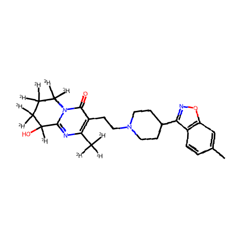 [2H]C([2H])([2H])c1nc2n(c(=O)c1CCN1CCC(c3noc4cc(C)ccc34)CC1)C([2H])([2H])C([2H])([2H])C([2H])([2H])C2([2H])O